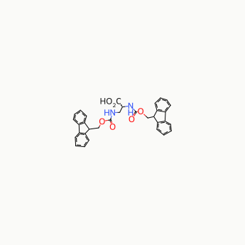 O=C(NC[C@H](NC(=O)OCC1c2ccccc2-c2ccccc21)C(=O)O)OCC1c2ccccc2-c2ccccc21